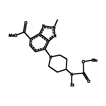 CCN(C(=O)OC(C)(C)C)C1CCN(c2ccc(C(=O)OC)c3nn(C)nc23)CC1